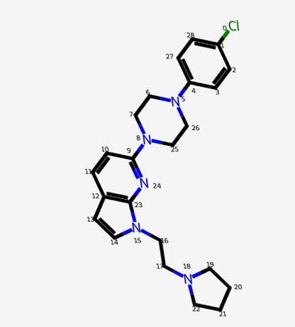 Clc1ccc(N2CCN(c3ccc4ccn(CCN5CCCC5)c4n3)CC2)cc1